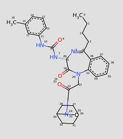 CCCCC1=N[C@@H](NC(=O)Nc2cccc(C)c2)C(=O)N(CC(=O)N2CC3CCC(CC3)C2)c2ccccc21